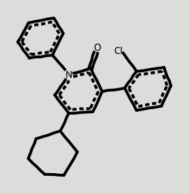 O=c1c(-c2ccccc2Cl)cc(C2CCCCC2)cn1-c1ccccc1